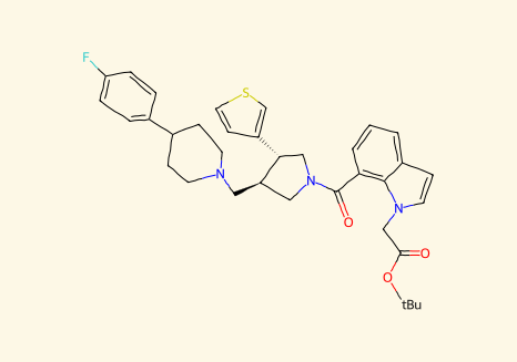 CC(C)(C)OC(=O)Cn1ccc2cccc(C(=O)N3C[C@@H](CN4CCC(c5ccc(F)cc5)CC4)[C@H](c4ccsc4)C3)c21